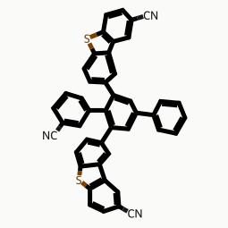 N#Cc1cccc(-c2c(-c3ccc4sc5ccc(C#N)cc5c4c3)cc(-c3ccccc3)cc2-c2ccc3sc4ccc(C#N)cc4c3c2)c1